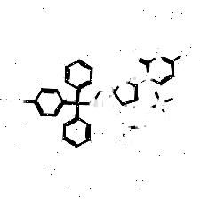 COc1ccc(C(NC[C@H]2O[C@@H](n3ccc(N)nc3=O)[C@H](O[Si](C)(C)C(C)(C)C)[C@@H]2OP(N)O)(c2ccccc2)c2ccccc2)cc1